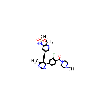 Cc1ncc(C#Cc2c(C)ncnc2-c2ccc(C(=O)N3CCN(C)CC3)c(F)c2)cc1NS(C)(=O)=O